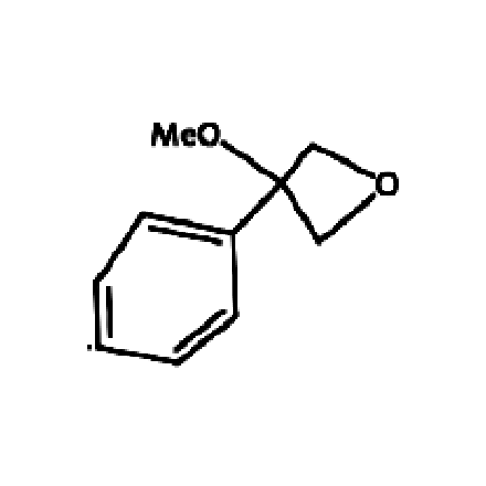 COC1(c2cc[c]cc2)COC1